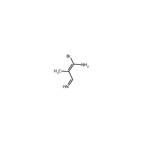 C/C(C=N)=C(/N)Br